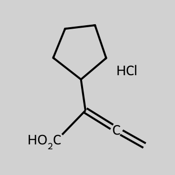 C=C=C(C(=O)O)C1CCCC1.Cl